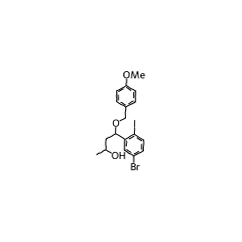 COc1ccc(COC(CC(C)O)c2cc(Br)ccc2I)cc1